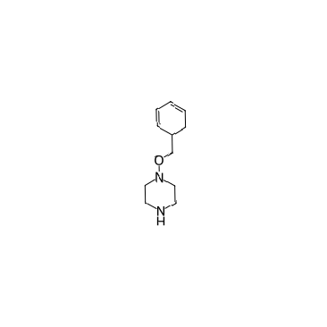 C1=CCC(CON2CCNCC2)C=C1